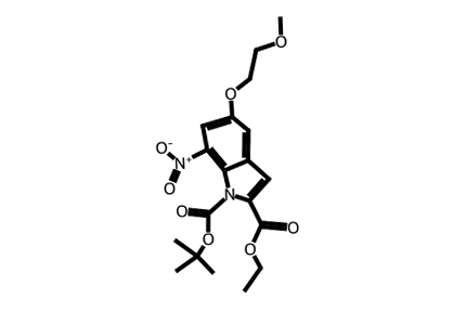 CCOC(=O)c1cc2cc(OCCOC)cc([N+](=O)[O-])c2n1C(=O)OC(C)(C)C